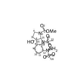 COC(=O)N1CC[C@]2(O)c3cccc(N(N)S(C)(=O)=O)c3N(S(C)(=O)=O)C12